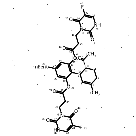 C=C(C)[C@@H]1CCC(C)=C[C@H]1c1c(OC(=O)CCn2c(=O)[nH]cc(F)c2=O)cc(CCCCC)cc1OC(=O)CCn1c(=O)[nH]cc(F)c1=O